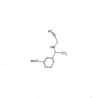 C#CCNC(C)c1cccc(OC)c1